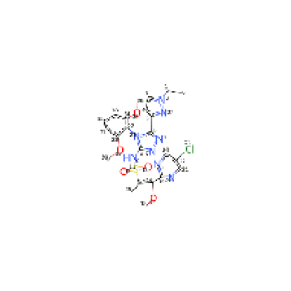 CCn1ccc(-c2nnc(NS(=O)(=O)C(C)C(OC)c3ncc(Cl)cn3)n2-c2c(OC)cccc2OC)n1